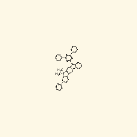 CC1(C)c2cc(-c3ncccn3)ccc2-c2cc3c4ccccc4n(-c4nc(-c5ccccc5)nc(-c5ccccc5)n4)c3cc21